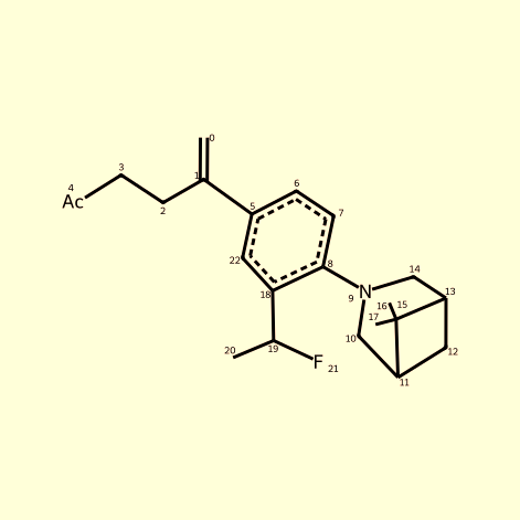 C=C(CCC(C)=O)c1ccc(N2CC3CC(C2)C3(C)C)c(C(C)F)c1